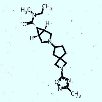 CCN(C)C(=O)[C@@H]1[C@@H]2CN(C3CCC4(C3)CN(c3nc(C)no3)C4)C[C@@H]21